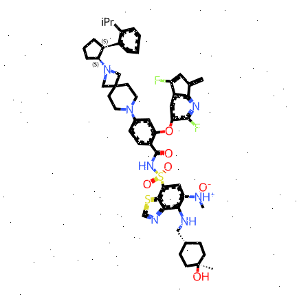 C=C1C=C(F)c2cc(Oc3cc(N4CCC5(CC4)CN([C@H]4CCC[C@H]4c4ccccc4C(C)C)C5)ccc3C(=O)NS(=O)(=O)c3cc([NH+](C)[O-])c(NC[C@H]4CC[C@](C)(O)CC4)c4ncsc34)c(F)nc21